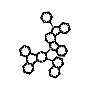 c1ccc(-n2c3ccccc3c3c4c5ccccc5n(-c5nc6c7ccccc7c7ccccc7c6nc5-c5cccc6ccccc56)c4ccc32)cc1